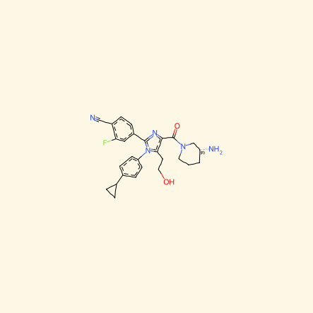 N#Cc1ccc(-c2nc(C(=O)N3CCC[C@@H](N)C3)c(CCO)n2-c2ccc(C3CC3)cc2)cc1F